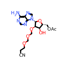 CC(=O)OC[C@H]1O[C@@H](n2cnc3c(N)ncnc32)[C@H](OCOCOCCC#N)[C@@H]1O